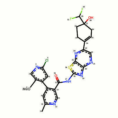 COc1cnc(Cl)cc1-c1cc(C)ncc1C(=O)Nc1nc2ncc(C3=CCC(O)(C(F)F)CC3)nc2s1